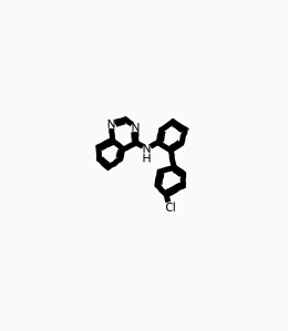 Clc1ccc(-c2c[c]ccc2Nc2ncnc3ccccc23)cc1